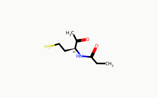 CCC(=O)N[C@@H](CCS)C(C)=O